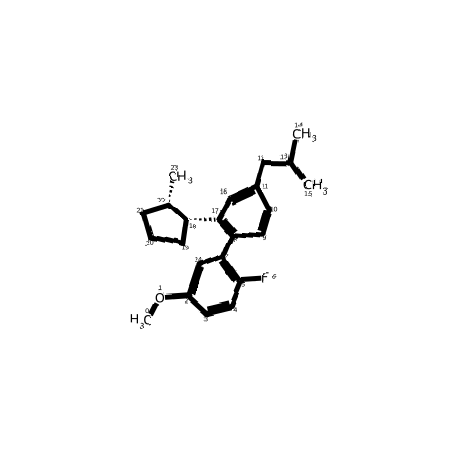 COc1ccc(F)c(-c2ccc(CC(C)C)cc2[C@@H]2CCC[C@@H]2C)c1